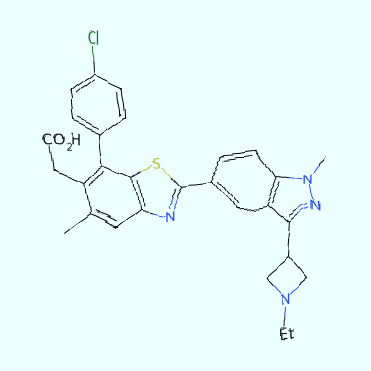 CCN1CC(c2nn(C)c3ccc(-c4nc5cc(C)c(CC(=O)O)c(-c6ccc(Cl)cc6)c5s4)cc23)C1